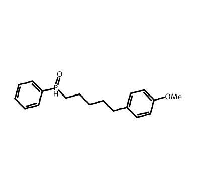 COc1ccc(CCCCC[PH](=O)c2ccccc2)cc1